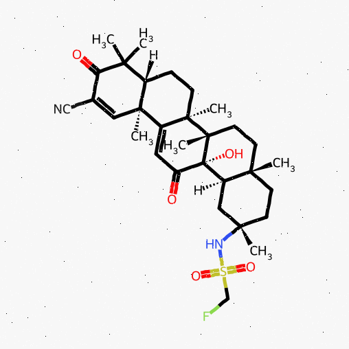 CC1(C)C(=O)C(C#N)=C[C@]2(C)C3=CC(=O)[C@]4(O)[C@@H]5C[C@@](C)(NS(=O)(=O)CF)CC[C@@]5(C)CC[C@@]4(C)[C@]3(C)CC[C@@H]12